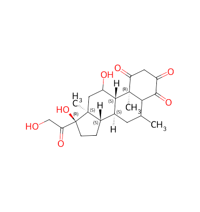 CC1C[C@@H]2[C@H](C(O)C[C@@]3(C)[C@H]2CC[C@]3(O)C(=O)CO)[C@@]2(C)C(=O)CC(=O)C(=O)C12